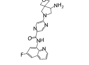 NC1CN(c2cnc(C(=O)Nc3cc(F)cc4cccnc34)cn2)CC12COC2